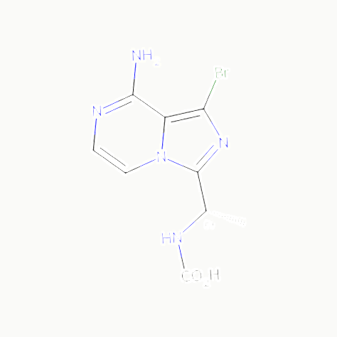 C[C@H](NC(=O)O)c1nc(Br)c2c(N)nccn12